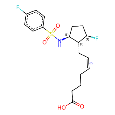 O=C(O)CCC/C=C\C[C@H]1[C@H](F)CC[C@@H]1NS(=O)(=O)c1ccc(F)cc1